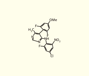 COc1cc(F)c(-c2c(C)ncnc2Nc2c(F)cc(Cl)cc2[N+](=O)[O-])c(F)c1